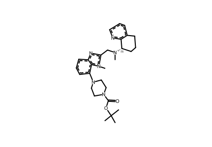 CN(Cc1nc2cccc(N3CCN(C(=O)OC(C)(C)C)CC3)c2n1C)[C@H]1CCCc2cccnc21